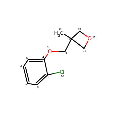 CC1(COc2c[c]ccc2Cl)COC1